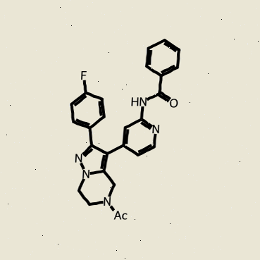 CC(=O)N1CCn2nc(-c3ccc(F)cc3)c(-c3ccnc(NC(=O)c4ccccc4)c3)c2C1